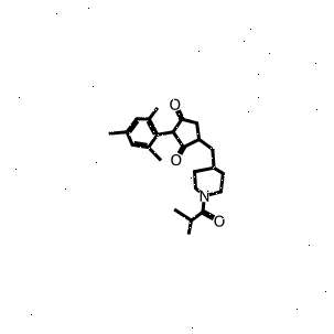 Cc1cc(C)c(C2C(=O)CC(CC3CCN(C(=O)C(C)C)CC3)C2=O)c(C)c1